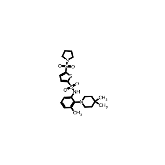 Cc1cccc(NS(=O)(=O)c2ccc(S(=O)(=O)N3CCCC3)s2)c1N1CCC(C)(C)CC1